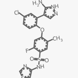 Cc1cc(S(=O)(=O)Nc2cscn2)c(F)cc1Oc1ccc(Cl)cc1-c1cn[nH]c1N